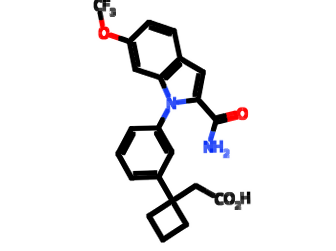 NC(=O)c1cc2ccc(OC(F)(F)F)cc2n1-c1cccc(C2(CC(=O)O)CCC2)c1